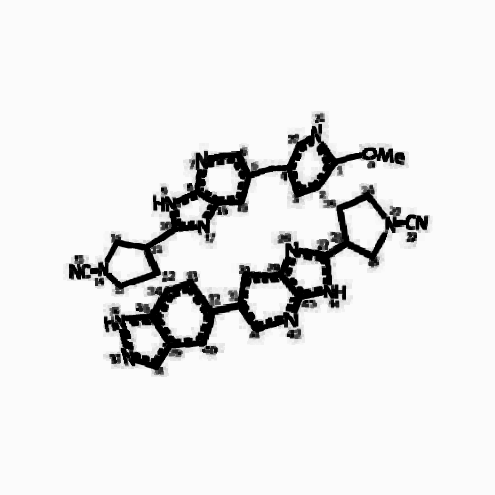 COc1ccc(-c2cnc3[nH]c(C4CCN(C#N)C4)nc3c2)cn1.N#CN1CCC(c2nc3cc(-c4ccc5[nH]ncc5c4)cnc3[nH]2)C1